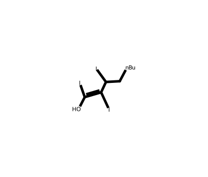 CCCCCC(I)C(I)=C(O)I